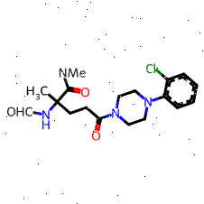 CNC(=O)C(C)(CCC(=O)N1CCN(c2ccccc2Cl)CC1)NC=O